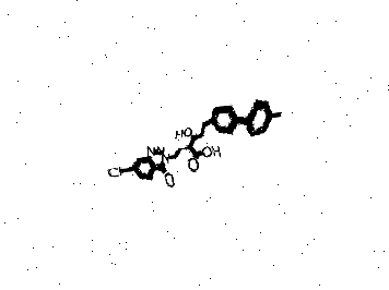 Cc1ccc(-c2ccc(CC[C@@H](O)[C@H](CCn3nnc4cc(Cl)ccc4c3=O)C(=O)O)cc2)cc1